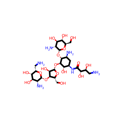 NC[C@@H]1O[C@H](O[C@H]2[C@@H](O)[C@H](O[C@@H]3[C@@H](O)[C@H](NC(=O)[C@@H](O)[C@@H](O)CN)C[C@H](N)[C@H]3O[C@H]3O[C@H](CO)[C@@H](O)[C@H](O)[C@H]3N)O[C@@H]2CO)[C@H](N)[C@@H](O)[C@@H]1O